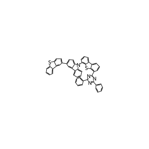 c1ccc(-c2nc(-c3ccccc3)nc(-c3cccc4c3sc3c(-n5c6ccccc6c6cc(-c7ccc8sc9ccccc9c8c7)ccc65)cccc34)n2)cc1